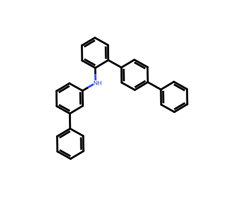 c1ccc(-c2ccc(-c3ccccc3Nc3cccc(-c4ccccc4)c3)cc2)cc1